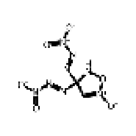 O=[N+]([O-])/N=N/C1(/N=N/[N+](=O)[O-])C=[N+]([O-])ON1